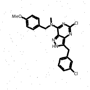 COc1ccc(CN(C)c2nc(Cl)nc3c(Cc4cccc(Cl)c4)[nH]nc23)cc1